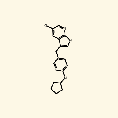 Clc1cnc2[nH]cc(Cc3cnc(NC4CCCC4)nc3)c2c1